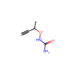 C#CC(C)ONC(N)=O